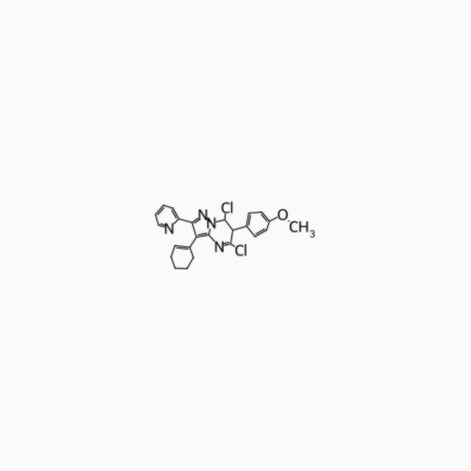 COc1ccc(C2C(Cl)=Nc3c(C4=CCCCC4)c(-c4ccccn4)nn3C2Cl)cc1